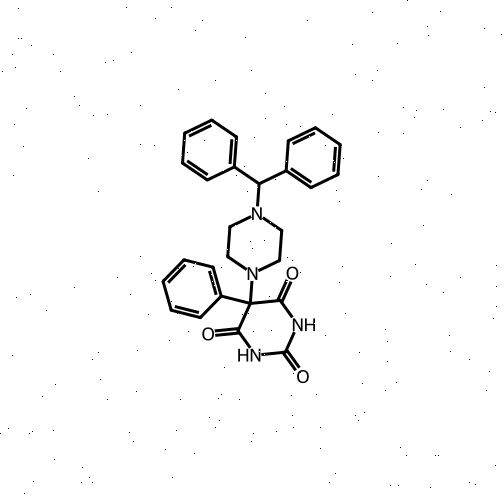 O=C1NC(=O)C(c2ccccc2)(N2CCN(C(c3ccccc3)c3ccccc3)CC2)C(=O)N1